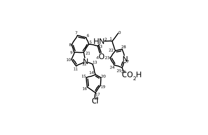 CC(NC(=O)c1cccc2ccn(Cc3ccc(Cl)cc3)c12)c1ccc(C(=O)O)nc1